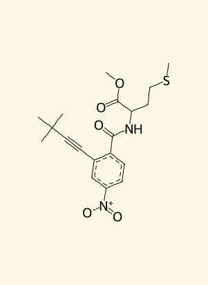 COC(=O)C(CCSC)NC(=O)c1ccc([N+](=O)[O-])cc1C#CC(C)(C)C